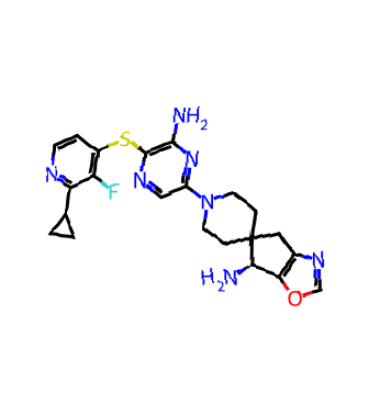 Nc1nc(N2CCC3(CC2)Cc2ncoc2[C@H]3N)cnc1Sc1ccnc(C2CC2)c1F